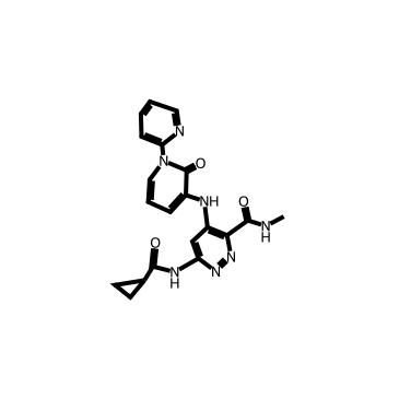 CNC(=O)c1nnc(NC(=O)C2CC2)cc1Nc1cccn(-c2ccccn2)c1=O